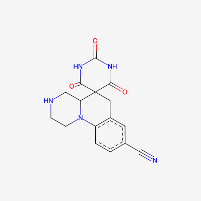 N#Cc1ccc2c(c1)CC1(C(=O)NC(=O)NC1=O)C1CNCCN21